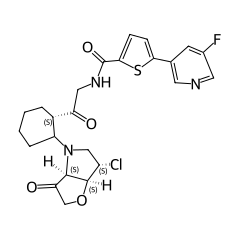 O=C(NCC(=O)[C@H]1CCCCC1N1C[C@H](Cl)[C@H]2OCC(=O)[C@H]21)c1ccc(-c2cncc(F)c2)s1